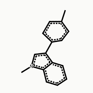 Cc1ccc(-c2cn(C)c3ccccc23)cc1